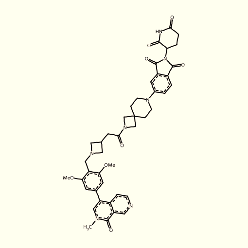 COc1cc(-c2cn(C)c(=O)c3cnccc23)cc(OC)c1CN1CC(CC(=O)N2CC3(CCN(c4ccc5c(c4)C(=O)N(C4CCC(=O)NC4=O)C5=O)CC3)C2)C1